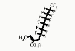 CC=C(CC(F)(F)C(F)(F)C(F)(F)C(F)(F)C(F)(F)C(F)(F)C(F)(F)F)C(=O)O